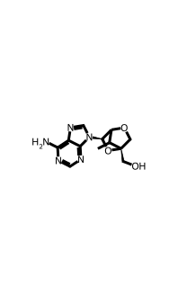 CC1C2OC[C@]1(CO)O[C@H]2n1cnc2c(N)ncnc21